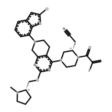 C=C(F)C(=O)N1CCN(c2nc(OC[C@@H]3CCCN3C)nc3c2CCN(c2cccc4cc(Cl)sc24)C3)C[C@@H]1CC#N